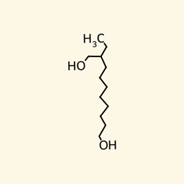 CCC(CO)CCCCCCCCO